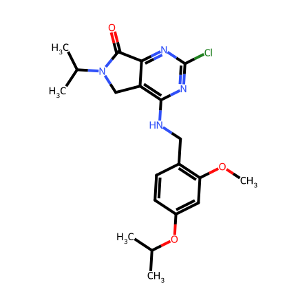 COc1cc(OC(C)C)ccc1CNc1nc(Cl)nc2c1CN(C(C)C)C2=O